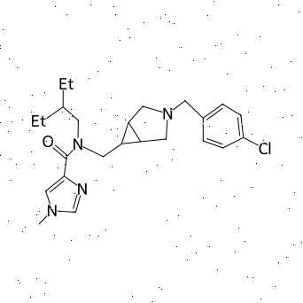 CCC(CC)CN(CC1C2CN(Cc3ccc(Cl)cc3)CC21)C(=O)c1cn(C)cn1